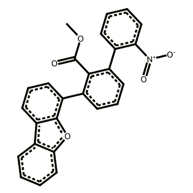 COC(=O)c1c(-c2ccccc2[N+](=O)[O-])cccc1-c1cccc2c1oc1ccccc12